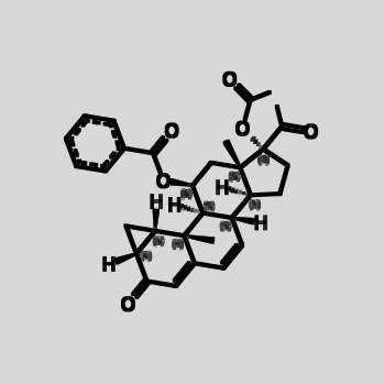 CC(=O)O[C@]1(C(C)=O)CC[C@H]2[C@@H]3C=CC4=CC(=O)[C@@H]5C[C@@H]5[C@]4(C)[C@H]3[C@@H](OC(=O)c3ccccc3)C[C@@]21C